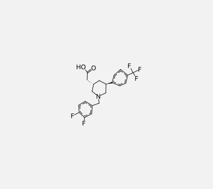 O=C(O)C[C@@H]1C[C@@H](c2ccc(C(F)(F)F)cc2)CN(Cc2ccc(F)c(F)c2)C1